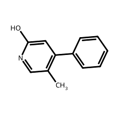 Cc1cnc(O)cc1-c1ccccc1